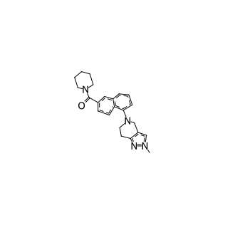 Cn1cc2c(n1)CCN(c1cccc3cc(C(=O)N4CCCCC4)ccc13)C2